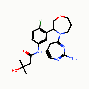 CC(C)(O)CC(=O)Nc1ccc(Cl)c(C2COCCCN2C2=NC(N)=NC#CC2)c1